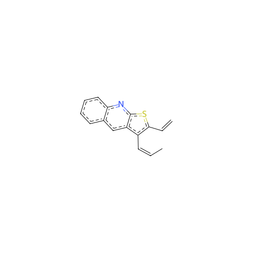 C=Cc1sc2nc3ccccc3cc2c1/C=C\C